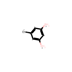 Bc1cc(B)cc(CC)c1